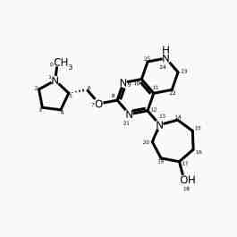 CN1CCC[C@H]1COc1nc2c(c(N3CCCC(O)CC3)n1)CCNC2